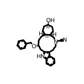 N#CN1CCc2c([nH]c3ccccc23)C[C@H](OCc2ccccc2)CC[C@@H]2CC[C@@H](O)CC[C@H]2C1